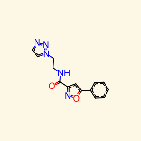 O=C(NCCn1ccnn1)c1cc(-c2ccccc2)on1